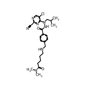 CC(C)CN(NC(=O)c1ccc(CNCCCCC(=O)N(C)C)cc1)c1nc(C#N)ncc1Cl